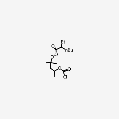 CCCCC(CC)C(=O)OOC(C)(C)CC(C)OC(=O)Cl